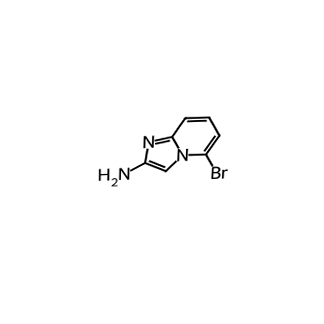 Nc1cn2c(Br)cccc2n1